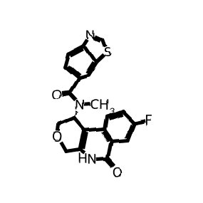 CN(C(=O)c1ccc2ncsc2c1)[C@H]1COCc2[nH]c(=O)c3cc(F)ccc3c21